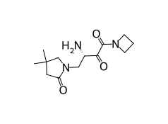 CC1(C)CC(=O)N(C[C@H](N)C(=O)C(=O)N2CCC2)C1